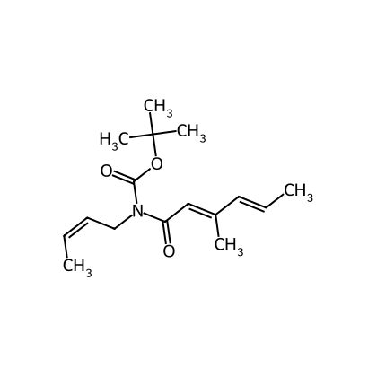 C/C=C\CN(C(=O)/C=C(C)/C=C/C)C(=O)OC(C)(C)C